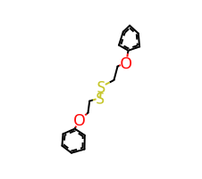 c1ccc(OCCSSCCOc2ccccc2)cc1